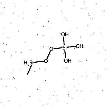 C[SiH2]OO[Si](O)(O)O